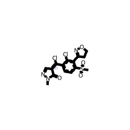 CN1N=C/C(=C(\Cl)c2ccc(S(C)(=O)=O)c(C3=NOCC3)c2Cl)C1=O